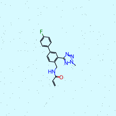 C=CC(=O)NCc1ccc(-c2ccc(F)cc2)cc1-c1nnn(C)n1